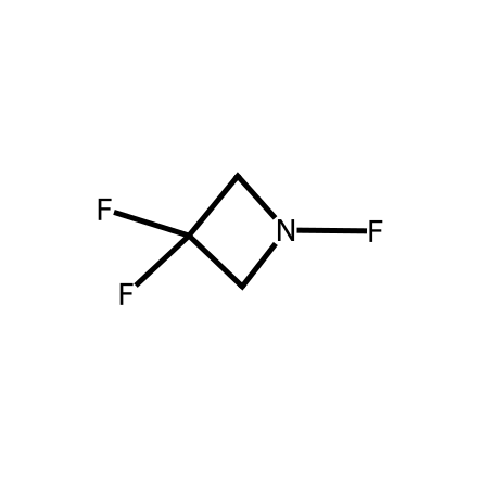 FN1CC(F)(F)C1